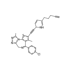 C#CCCCC1=CNC(C#Cc2sc3c(c2C)C(c2ccc(Cl)cc2)=NCc2nnc(C)n2-3)C=C1